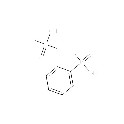 O=P(O)(O)O.O=P(O)(O)c1ccccc1